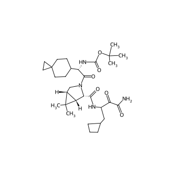 CC(C)(C)OC(=O)N[C@H](C(=O)N1C[C@@H]2[C@H]([C@H]1C(=O)NC(CC1CCC1)C(=O)C(N)=O)C2(C)C)C1CCC2(CC1)CC2